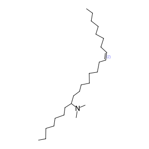 CCCCCCC/C=C\CCCCCCCC(CCCCCCC)N(C)C